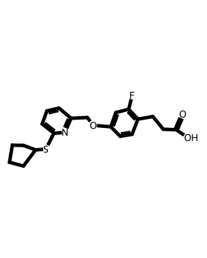 O=C(O)CCc1ccc(OCc2cccc(SC3CCCC3)n2)cc1F